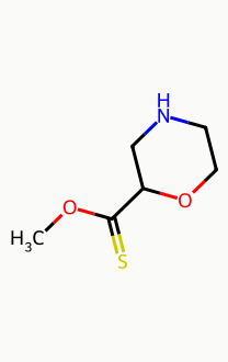 COC(=S)C1CNCCO1